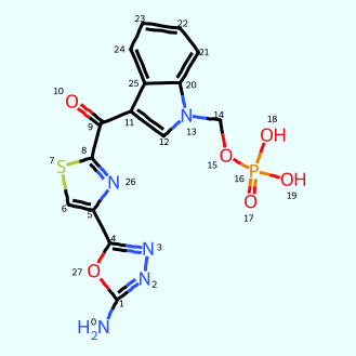 Nc1nnc(-c2csc(C(=O)c3cn(COP(=O)(O)O)c4ccccc34)n2)o1